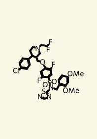 COc1ccc(CN(c2ncns2)S(=O)(=O)c2cc(F)c(OCC3CN(CC(F)F)CCC3c3ccc(Cl)cc3)cc2F)c(OC)c1